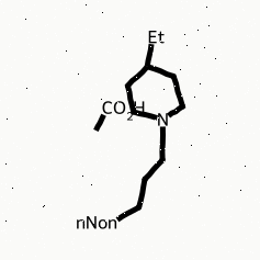 CC(=O)O.CCCCCCCCCCCCN1CCC(CC)CC1